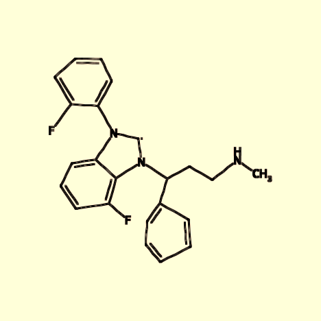 CNCCC(c1ccccc1)N1[CH]N(c2ccccc2F)c2cccc(F)c21